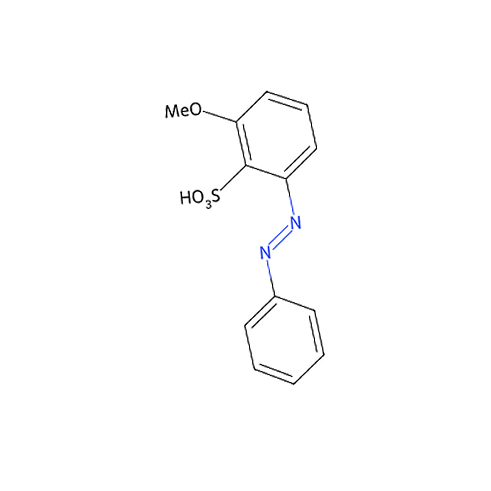 COc1cccc(N=Nc2ccccc2)c1S(=O)(=O)O